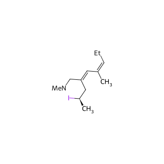 CC/C=C(C)\C=C(\CNC)C[C@@H](C)I